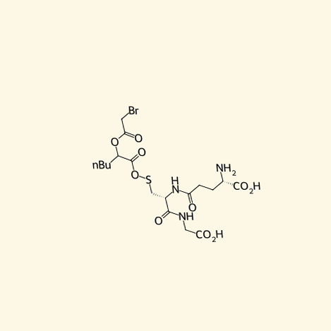 CCCCC(OC(=O)CBr)C(=O)OSC[C@H](NC(=O)CC[C@H](N)C(=O)O)C(=O)NCC(=O)O